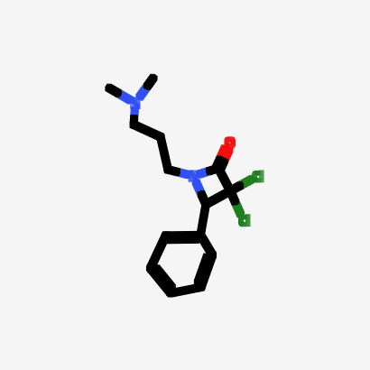 CN(C)CCCN1C(=O)C(Cl)(Cl)C1c1ccccc1